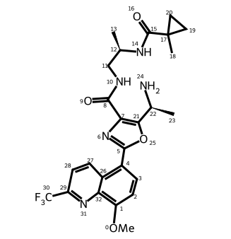 COc1ccc(-c2nc(C(=O)NC[C@@H](C)NC(=O)C3(C)CC3)c([C@H](C)N)o2)c2ccc(C(F)(F)F)nc12